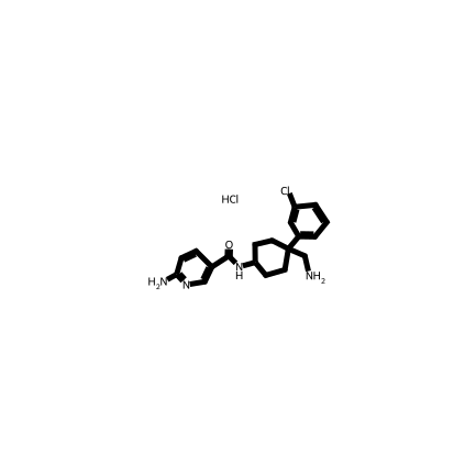 Cl.NCC1(c2cccc(Cl)c2)CCC(NC(=O)c2ccc(N)nc2)CC1